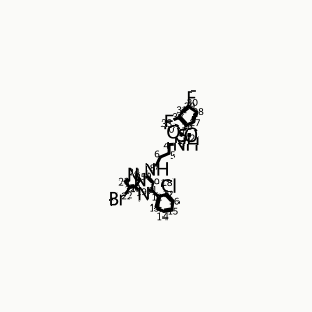 O=S(=O)(NCCCCNc1cc(-c2ccccc2Cl)nc2c(Br)cnn12)c1ccc(F)cc1F